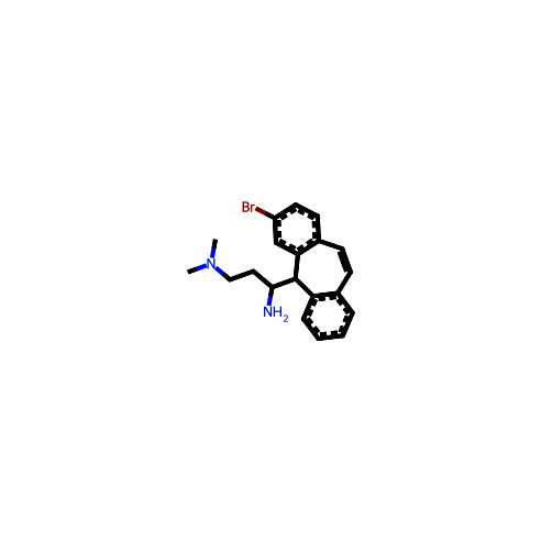 CN(C)CCC(N)C1c2ccccc2C=Cc2ccc(Br)cc21